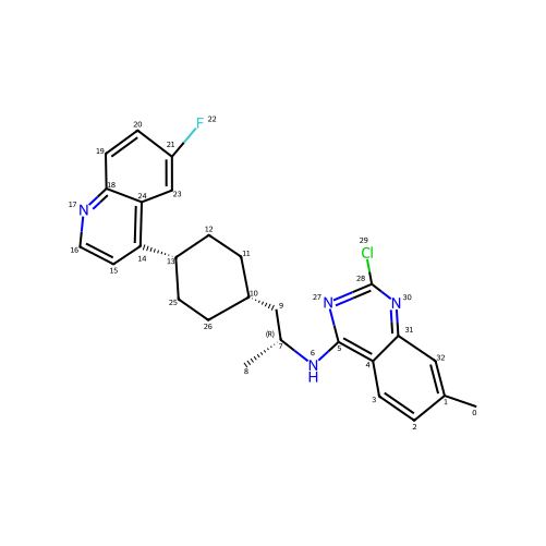 Cc1ccc2c(N[C@H](C)C[C@H]3CC[C@@H](c4ccnc5ccc(F)cc54)CC3)nc(Cl)nc2c1